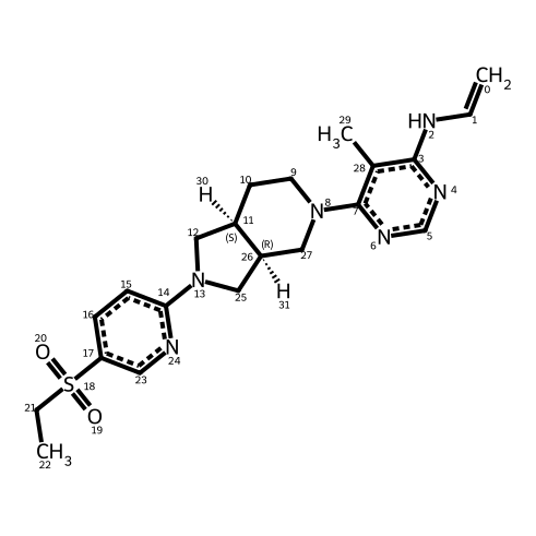 C=CNc1ncnc(N2CC[C@@H]3CN(c4ccc(S(=O)(=O)CC)cn4)C[C@@H]3C2)c1C